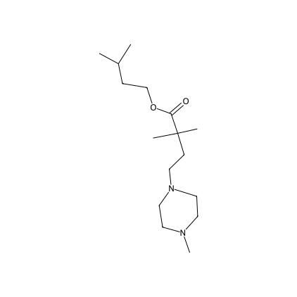 CC(C)CCOC(=O)C(C)(C)CCN1CCN(C)CC1